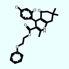 CC1=C(C(=O)OCCOc2ccccc2)C(c2ccc(Cl)cc2Cl)C2=C(CC(C)(C)CC2=O)N1